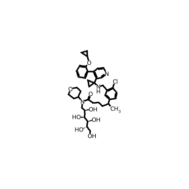 CC(CCCC(=O)N(C[C@@H](O)[C@H](O)[C@@H](O)[C@@H](O)CO)C1CCOCC1)c1ccc(Cl)c(CNC2(c3cnccc3-c3ccccc3OC3CC3)CC2)c1